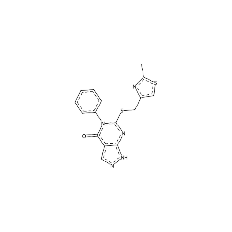 Cc1nc(CSc2nc3[nH]ncc3c(=O)n2-c2ccccc2)cs1